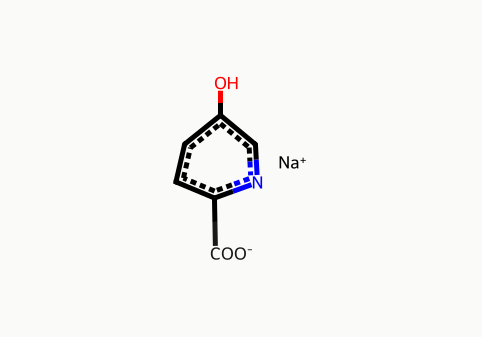 O=C([O-])c1ccc(O)cn1.[Na+]